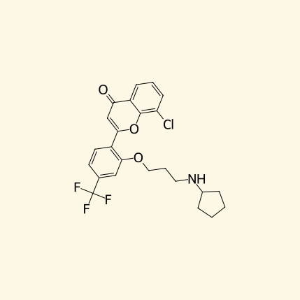 O=c1cc(-c2ccc(C(F)(F)F)cc2OCCCNC2CCCC2)oc2c(Cl)cccc12